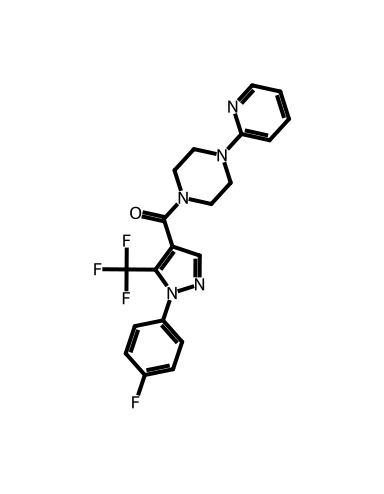 O=C(c1cnn(-c2ccc(F)cc2)c1C(F)(F)F)N1CCN(c2ccccn2)CC1